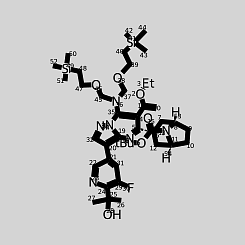 C=C(OCC)c1c([C@@H]2C[C@H]3CC[C@@H](C2)N3C(=O)OC(C)(C)C)nc2c(-c3cnc(C(C)(C)O)c(F)c3)cnn2c1N(COCC[Si](C)(C)C)COCC[Si](C)(C)C